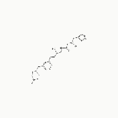 CN1CCN(Cc2ccnc(CCC(O)CNC(=O)C[S+]([O-])Cc3ccoc3)c2)CC1